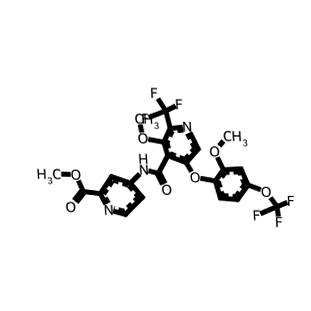 COC(=O)c1cc(NC(=O)c2c(Oc3ccc(OC(F)(F)F)cc3OC)cnc(C(F)(F)F)c2OC)ccn1